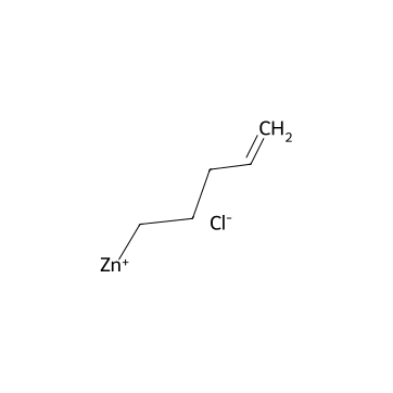 C=CCC[CH2][Zn+].[Cl-]